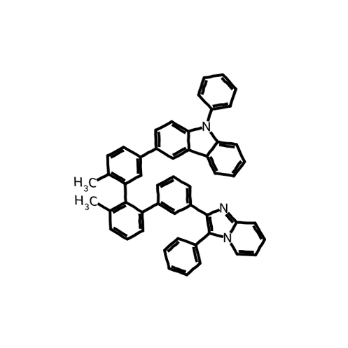 Cc1ccc(-c2ccc3c(c2)c2ccccc2n3-c2ccccc2)cc1-c1c(C)cccc1-c1cccc(-c2nc3ccccn3c2-c2ccccc2)c1